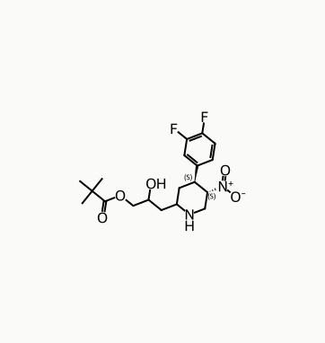 CC(C)(C)C(=O)OCC(O)CC1C[C@@H](c2ccc(F)c(F)c2)[C@H]([N+](=O)[O-])CN1